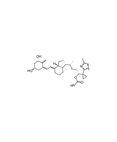 C=C1/C(=C\C=C2/CCC[C@]3(C)[C@@H]([C@H](C)CC[C@@H](OC(=O)CCC)C4(c5nc(C)cs5)CC4)CC[C@@H]23)C[C@@H](O)C[C@@H]1O